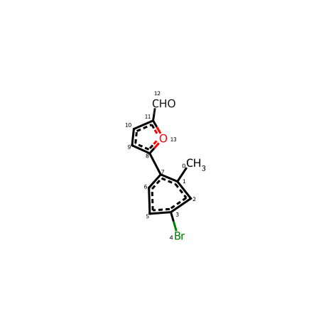 Cc1cc(Br)ccc1-c1ccc(C=O)o1